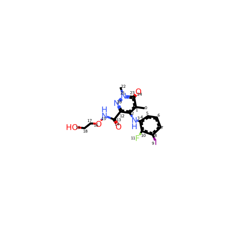 Cc1c(Nc2cccc(I)c2F)c(C(=O)NOCCO)nn(C)c1=O